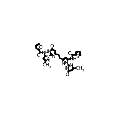 Cc1cc(=O)[nH]c(-n2nc(CCc3cc(=O)[nH]c(-n4nc(C)cc4NC(=O)c4ccco4)n3)cc2NC(=O)c2cccs2)n1